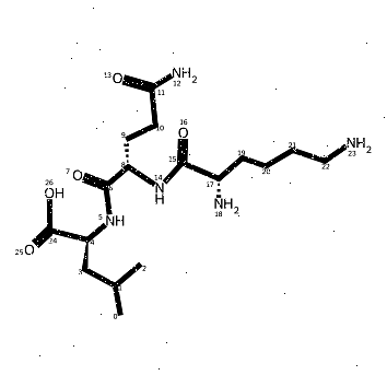 CC(C)C[C@H](NC(=O)[C@H](CCC(N)=O)NC(=O)[C@@H](N)CCCCN)C(=O)O